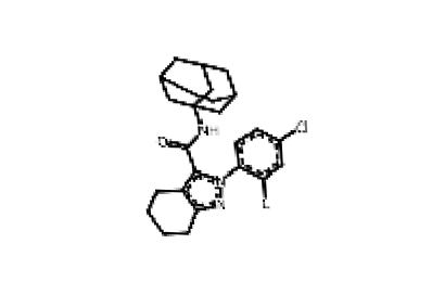 O=C(NC12CC3CC(CC(C3)C1)C2)c1c2c(nn1-c1ccc(Cl)cc1Cl)CCCC2